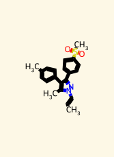 CC=Cn1nc(-c2ccc(S(C)(=O)=O)cc2)c(-c2ccc(C)cc2)c1C